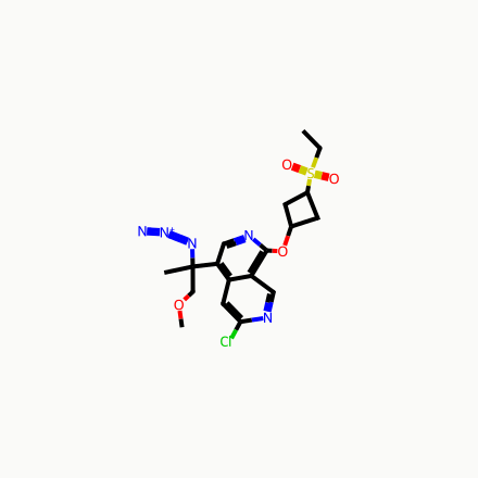 CCS(=O)(=O)C1CC(Oc2ncc(C(C)(COC)N=[N+]=[N-])c3cc(Cl)ncc23)C1